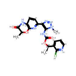 CC1Oc2nc(-c3nnn(C)c3NC(=O)O[C@H](C)c3cccnc3Cl)ccc2NC1=O